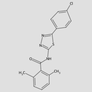 Cc1cccc(C)c1C(=O)Nc1nnc(-c2ccc(Cl)cc2)s1